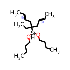 C/C=C/CC(CC)(C/C=C/C)[SiH](OCCCC)OCCCC